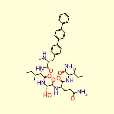 CC[C@H](C)[C@H](NC(=O)[C@@H](Cc1ccc(-c2ccc(-c3ccccc3)cc2)cc1)NC)C(=O)N[C@@H](CO)C(=O)N[C@H](CCC(N)=O)C(=O)N[C@@H](C(N)=O)[C@@H](C)CC